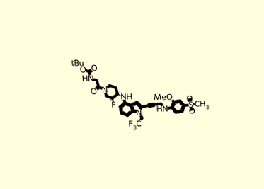 COc1cc(S(C)(=O)=O)ccc1NCC#Cc1cc2c(N[C@H]3CCN(C(=O)CNC(=O)OC(C)(C)C)C[C@H]3F)cccc2n1CC(F)(F)F